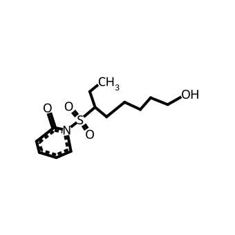 CCC(CCCCCO)S(=O)(=O)n1ccccc1=O